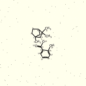 CC12CCC(C1)C(C)(C)[C@@H]2OC(=O)c1ccccc1O